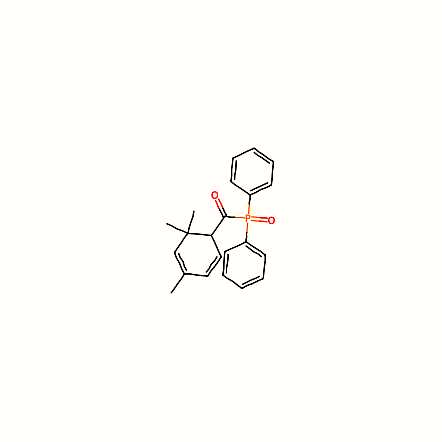 CC1=CC(C)(C)C(C(=O)P(=O)(c2ccccc2)c2ccccc2)C=C1